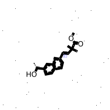 COC(=O)C(C)(C)/C=C/c1ccc2ccc([C@@H](C)O)cc2c1